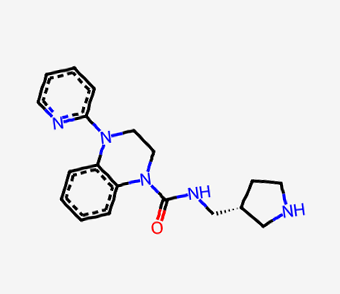 O=C(NC[C@@H]1CCNC1)N1CCN(c2ccccn2)c2ccccc21